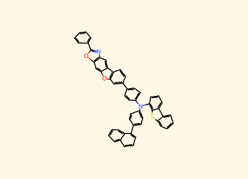 c1ccc(-c2nc3cc4c(cc3o2)oc2cc(-c3ccc(N(c5ccc(-c6cccc7ccccc67)cc5)c5cccc6c5sc5ccccc56)cc3)ccc24)cc1